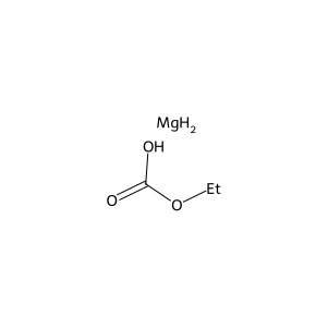 CCOC(=O)O.[MgH2]